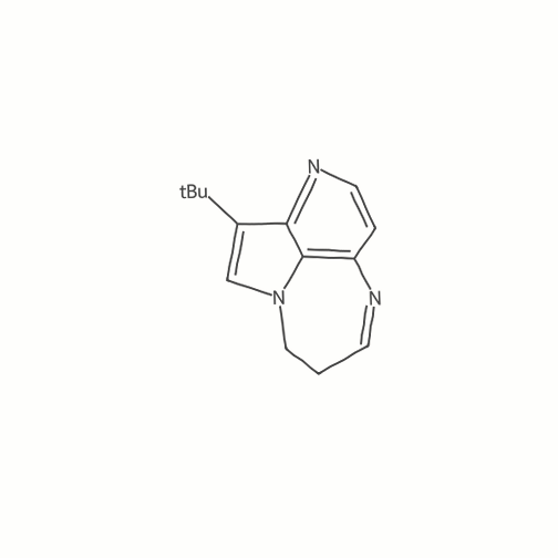 CC(C)(C)c1cn2c3c(ccnc13)N=CCC2